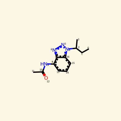 CCC(C)n1nnc2c(NC(C)=O)cccc21